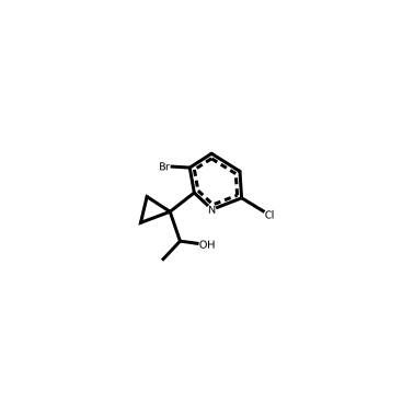 CC(O)C1(c2nc(Cl)ccc2Br)CC1